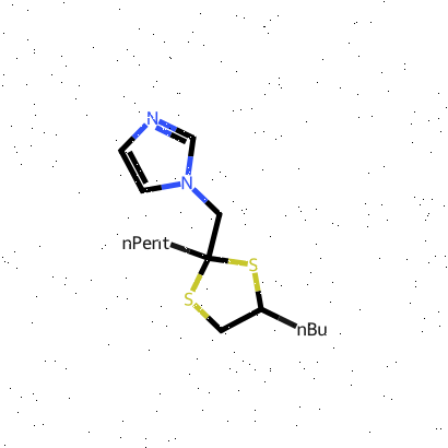 CCCCCC1(Cn2ccnc2)SCC(CCCC)S1